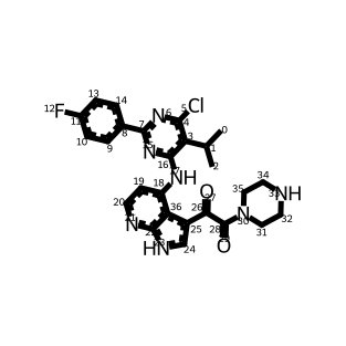 CC(C)c1c(Cl)nc(-c2ccc(F)cc2)nc1Nc1ccnc2[nH]cc(C(=O)C(=O)N3CCNCC3)c12